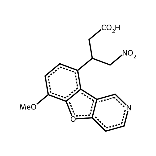 COc1ccc(C(CC(=O)O)C[N+](=O)[O-])c2c1oc1ccncc12